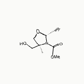 COC(=O)N1[C@@H](C(C)C)OC[C@]1(C)CO